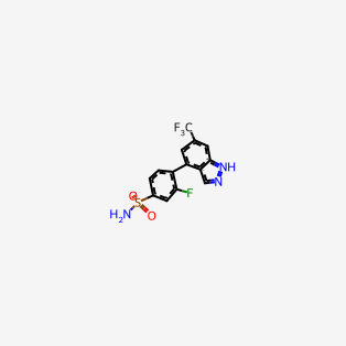 NS(=O)(=O)c1ccc(-c2cc(C(F)(F)F)cc3[nH]ncc23)c(F)c1